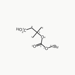 CC(C)(C)OC(=O)OC(C)(C)CC(=O)O